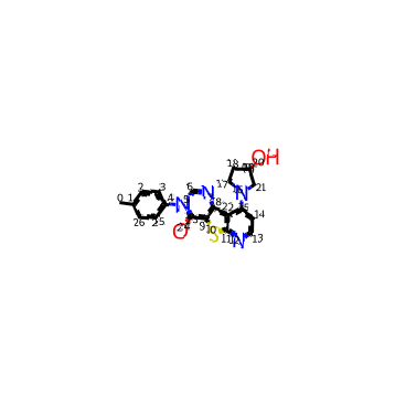 Cc1ccc(-n2cnc3c(sc4nccc(N5CC[C@@H](O)C5)c43)c2=O)cc1